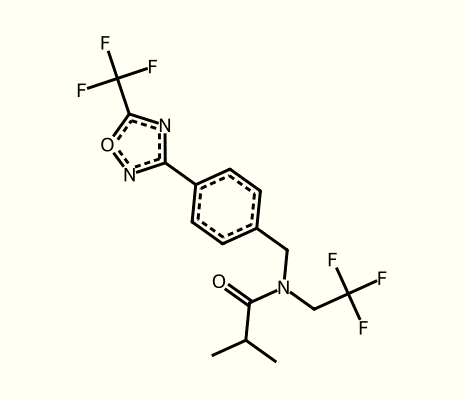 CC(C)C(=O)N(Cc1ccc(-c2noc(C(F)(F)F)n2)cc1)CC(F)(F)F